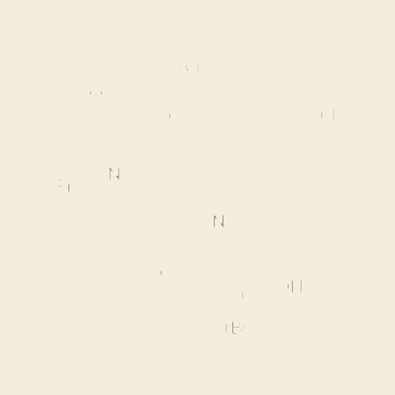 CCCN(CCN(C(=O)OC(C)(C)C)c1cc(Cl)ccc1O)C(=O)OC(C)(C)C